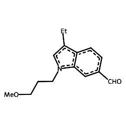 CCc1cn(CCCOC)c2cc(C=O)ccc12